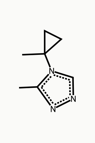 Cc1nncn1C1(C)CC1